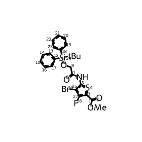 COC(=O)c1sc(NC(=O)CO[Si](c2ccccc2)(c2ccccc2)C(C)(C)C)c(Br)c1F